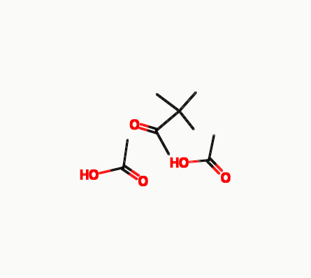 CC(=O)C(C)(C)C.CC(=O)O.CC(=O)O